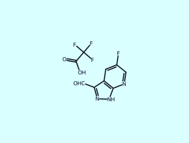 O=C(O)C(F)(F)F.O=Cc1n[nH]c2ncc(F)cc12